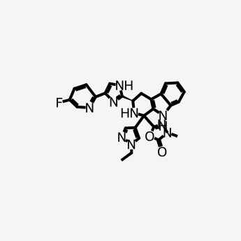 CCn1cc(C2(c3nn(C)c(=O)o3)N[C@@H](c3nc(-c4ccc(F)cn4)c[nH]3)Cc3c2[nH]c2ccccc32)cn1